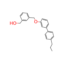 CCCc1ccc(-c2cccc(OCc3cccc(CO)c3)c2)cc1